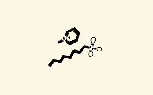 CCCCCCCCS(=O)(=O)[O-].C[n+]1ccccc1